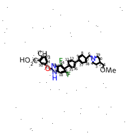 COCC1CCN(Cc2ccc(-c3ccc(-c4c(F)cc5[nH]c(Oc6ccc(C)c(C(=O)O)c6)nc5c4F)cc3)cc2)CC1